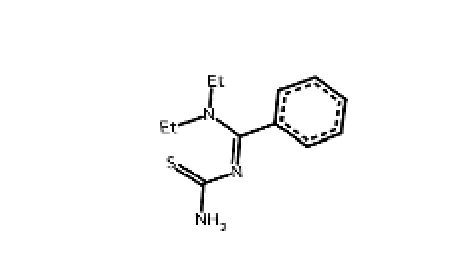 CCN(CC)/C(=N\C(N)=S)c1ccccc1